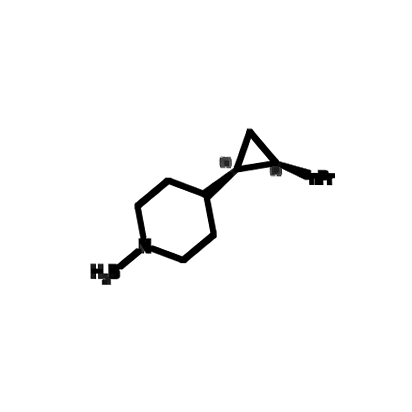 BN1CCC([C@H]2C[C@H]2CCC)CC1